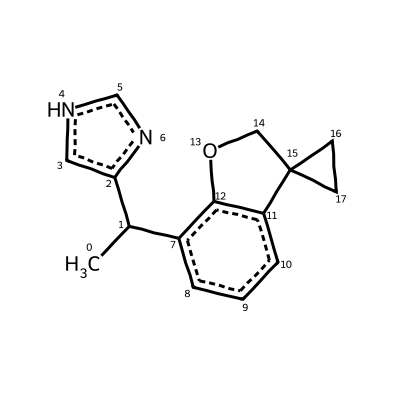 CC(c1c[nH]cn1)c1cccc2c1OCC21CC1